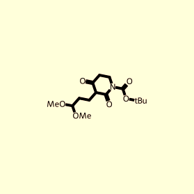 COC(CCC1C(=O)CCN(C(=O)OC(C)(C)C)C1=O)OC